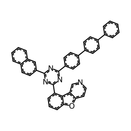 c1ccc(-c2ccc(-c3ccc(-c4nc(-c5ccc6ccccc6c5)nc(-c5cccc6oc7ccncc7c56)n4)cc3)cc2)cc1